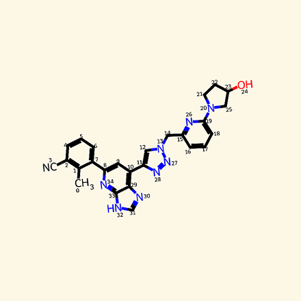 Cc1c(C#N)cccc1-c1cc(-c2cn(Cc3cccc(N4CCC(O)C4)n3)nn2)c2nc[nH]c2n1